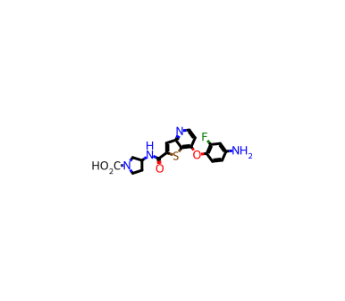 Nc1ccc(Oc2ccnc3cc(C(=O)NC4CCN(C(=O)O)C4)sc23)c(F)c1